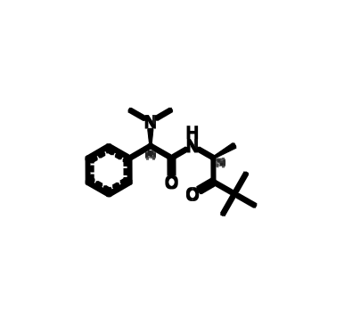 C[C@H](NC(=O)[C@@H](c1ccccc1)N(C)C)C(=O)C(C)(C)C